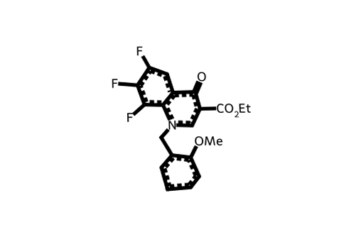 CCOC(=O)c1cn(Cc2ccccc2OC)c2c(F)c(F)c(F)cc2c1=O